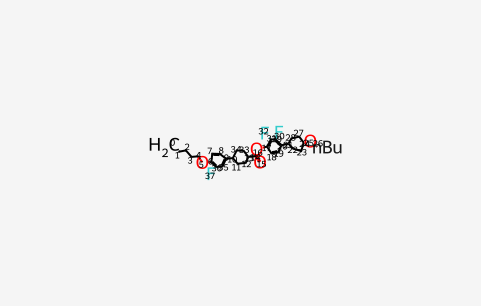 C=CCCCOc1ccc(C2CCC(C(=O)Oc3ccc(C4CCC(OCCCC)CC4)c(F)c3F)CC2)cc1F